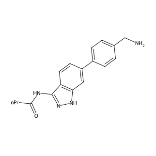 CCCC(=O)Nc1n[nH]c2cc(-c3ccc(CN)cc3)ccc12